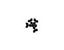 Cc1ccc2c(c1)c1cc(C)ccc1n2-c1ccc(-c2c(C#N)c(-c3ccc(-n4c5ccc(C)cc5c5cc(C)ccc54)cc3)c(-c3cc(C)nc(C)c3)c(-c3ccc(-n4c5ccc(C)cc5c5cc(C)ccc54)cc3)c2-c2ccc(-n3c4ccc(C)cc4c4cc(C)ccc43)cc2)cc1